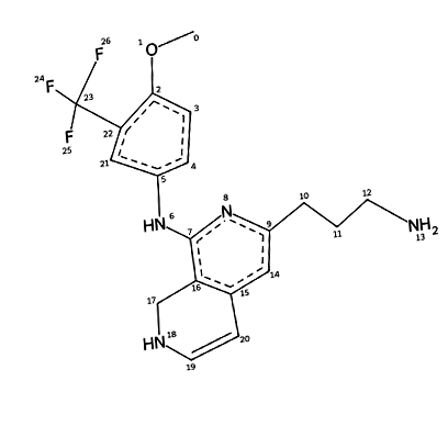 COc1ccc(Nc2nc(CCCN)cc3c2CNC=C3)cc1C(F)(F)F